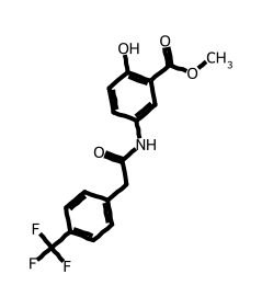 COC(=O)c1cc(NC(=O)Cc2ccc(C(F)(F)F)cc2)ccc1O